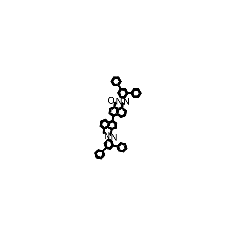 O=c1c2ccc(-c3ccc4c5c(cccc35)Cn3c-4nc4c(-c5ccccc5)cc(-c5ccccc5)cc43)c3cccc(c32)c2nc3c(-c4ccccc4)cc(-c4ccccc4)cc3n12